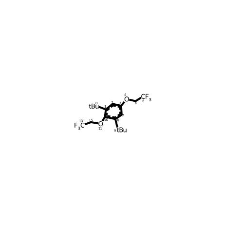 CC(C)(C)c1cc(OCC(F)(F)F)cc(C(C)(C)C)c1OCC(F)(F)F